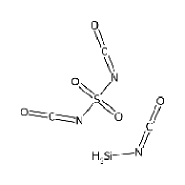 O=C=NS(=O)(=O)N=C=O.O=C=N[SiH3]